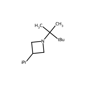 CC(C)C1CN(C(C)(C)C(C)(C)C)C1